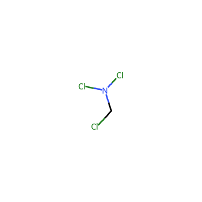 ClCN(Cl)Cl